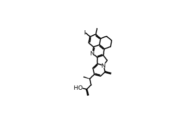 C=C(O)C[C@@H](C)C1=CC(=C)N2Cc3c(nc4cc(I)c(C)c5c4c3CCC5)C2=C1